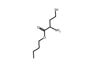 CCCCOC(=O)C(N)CCS